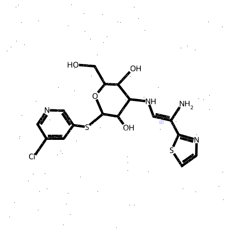 N/C(=C\NC1C(O)C(CO)OC(Sc2cncc(Cl)c2)C1O)c1nccs1